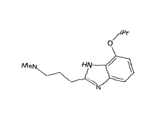 CNCCCc1nc2cccc(OC(C)C)c2[nH]1